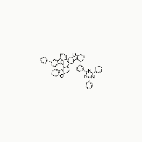 c1ccc(-c2ccc3c(c2)c2ccccc2n3-c2c(-c3ccc4oc5cccc(-c6cccc(-c7nc(-c8ccccc8)nc(-c8ccccc8)n7)c6)c5c4c3)ccc3oc4ccccc4c23)cc1